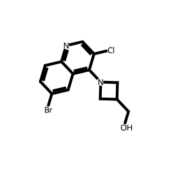 OCC1CN(c2c(Cl)cnc3ccc(Br)cc23)C1